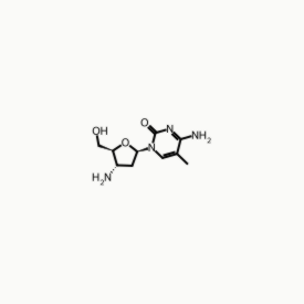 Cc1cn([C@H]2C[C@H](N)[C@@H](CO)O2)c(=O)nc1N